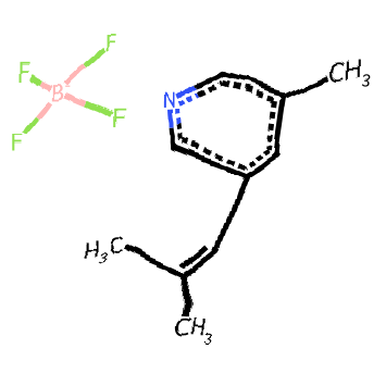 CC(C)=Cc1cncc(C)c1.F[B-](F)(F)F